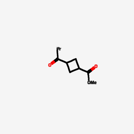 COC(=O)C1CC(C(=O)C(C)C)C1